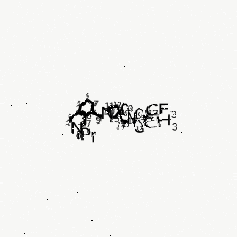 CC(C)N1CCc2cccc(CN3CCC4(CCN(C(=O)OC(C)C(F)(F)F)CC4)C3)c2C1